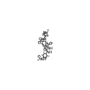 CC(=O)Nc1ccc(NC(=O)NC2C(=O)N3CC(CSc4nnc(C)s4)(C(=O)O)CS[C@H]23)cc1